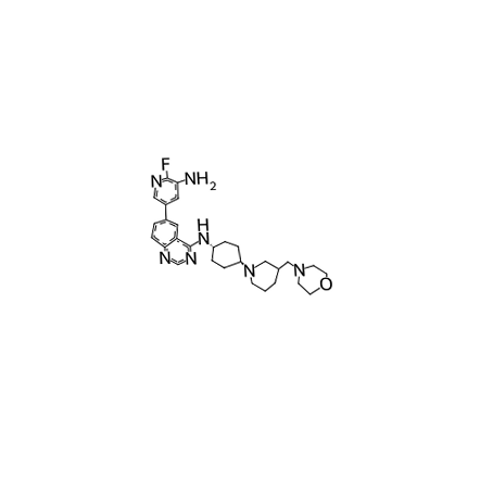 Nc1cc(-c2ccc3ncnc(N[C@H]4CC[C@H](N5CCCC(CN6CCOCC6)C5)CC4)c3c2)cnc1F